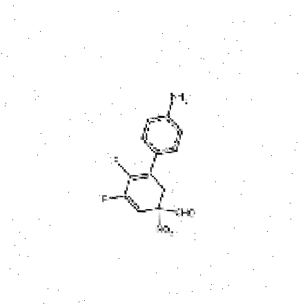 Nc1ccc(C2=C(F)C(F)=CC(C=O)([N+](=O)[O-])C2)cc1